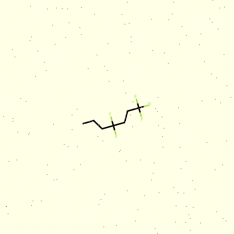 CCCC(F)(F)CCC(F)(F)F